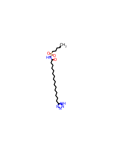 C=CCCCS(=O)(=O)NC(=O)CCCCCCCCCCCCCCCc1nnn[nH]1